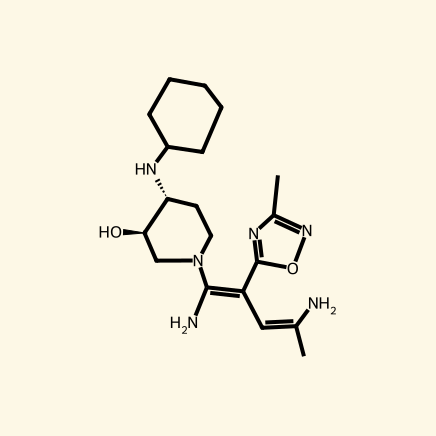 C/C(N)=C/C(=C(\N)N1CC[C@@H](NC2CCCCC2)[C@H](O)C1)c1nc(C)no1